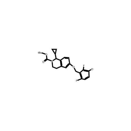 CC(C)(C)OC(=O)N1CCc2cc(OCc3c(F)ccc(Cl)c3F)ccc2C1C1CC1